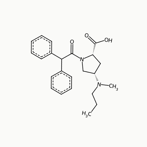 CCCN(C)[C@H]1C[C@@H](C(=O)O)N(C(=O)C(c2ccccc2)c2ccccc2)C1